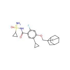 N[SH](=O)(NC(=O)c1cc(C2CC2)c(OCC23CC4CC(CC2C4)C3)cc1F)C1CC1